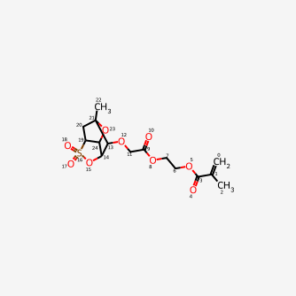 C=C(C)C(=O)OCCOC(=O)COC1C2OS(=O)(=O)C3CC1(C)OC23